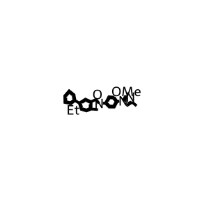 CCc1ccccc1-c1ccc2c(c1)C(=O)N(c1ccc(-n3cnc(C)c3)c(OC)c1)C2